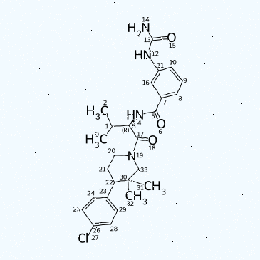 CC(C)[C@@H](NC(=O)c1cccc(NC(N)=O)c1)C(=O)N1CCC(c2ccc(Cl)cc2)C(C)(C)C1